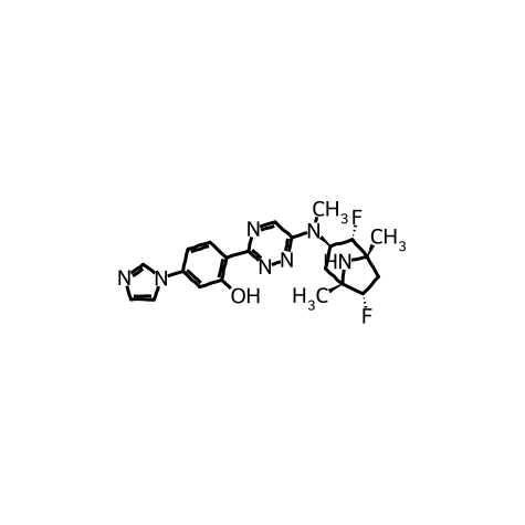 CN(c1cnc(-c2ccc(-n3ccnc3)cc2O)nn1)[C@@H]1C[C@]2(C)N[C@@](C)(C[C@@H]2F)[C@H]1F